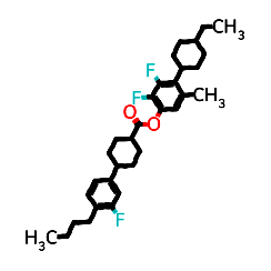 CCCCc1ccc(C2CCC(C(=O)Oc3cc(C)c(C4CCC(CC)CC4)c(F)c3F)CC2)cc1F